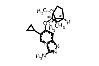 CC1(C)[C@@H]2CC[C@]1(C)[C@H](Oc1cc3nnc(N)n3cc1C1CC1)C2